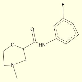 CN1CCOC(C(=O)Nc2cccc(F)c2)C1